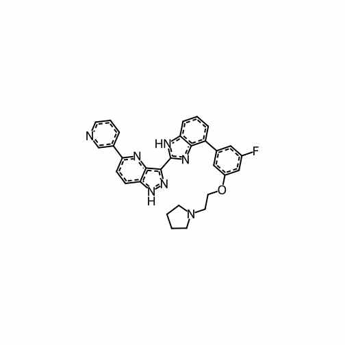 Fc1cc(OCCN2CCCC2)cc(-c2cccc3[nH]c(-c4n[nH]c5ccc(-c6cccnc6)nc45)nc23)c1